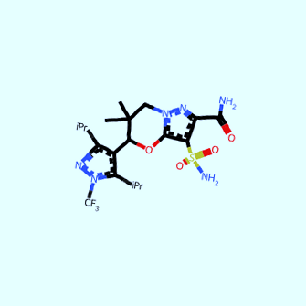 CC(C)c1nn(C(F)(F)F)c(C(C)C)c1C1Oc2c(S(N)(=O)=O)c(C(N)=O)nn2CC1(C)C